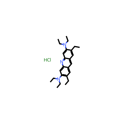 CCc1cc2cc3cc(CC)c(N(CC)CC)cc3nc2cc1N(CC)CC.Cl